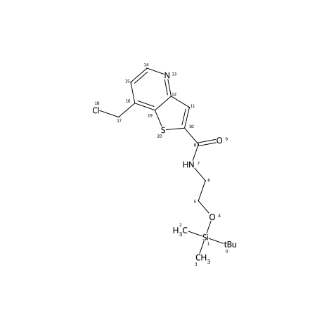 CC(C)(C)[Si](C)(C)OCCNC(=O)c1cc2nccc(CCl)c2s1